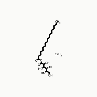 CCCCCCCCCCCCCCCCCC(=O)OC(=O)C(O)C(O)C(O)C(O)CO.[CaH2]